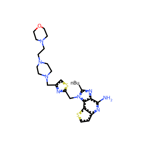 CCCCc1nc2c(N)nc3ccsc3c2n1Cc1nc(CN2CCN(CCN3CCOCC3)CC2)cs1